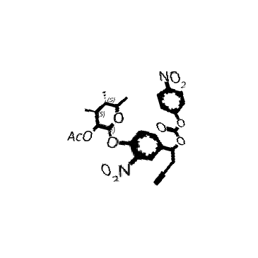 C#CCC(OC(=O)Oc1ccc([N+](=O)[O-])cc1)c1ccc(O[C@@H]2OC(C)[C@@H](C)[C@H](C)C2OC(C)=O)c([N+](=O)[O-])c1